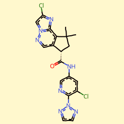 CC1(C)C[C@H](C(=O)Nc2cnc(-n3nccn3)c(Cl)c2)c2cnn3cc(Cl)nc3c21